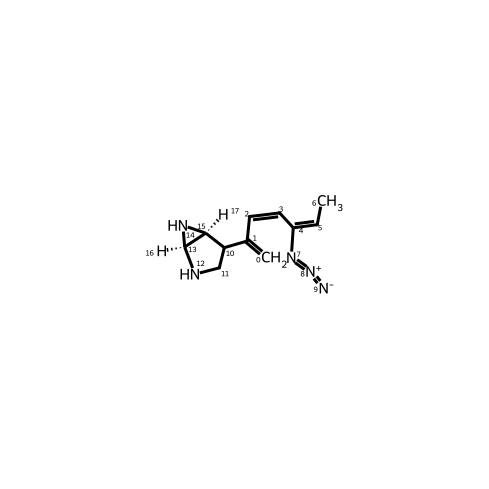 C=C(/C=C\C(=C/C)N=[N+]=[N-])C1CN[C@H]2N[C@@H]12